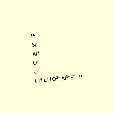 [Al+3].[Al+3].[LiH].[LiH].[O-2].[O-2].[O-2].[P].[P].[Si].[Si]